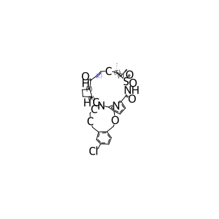 C[C@@H]1[C@@H](C)C/C=C/C(=O)[C@@H]2CC[C@H]2CN2CCCCc3cc(Cl)ccc3COc3ccc(nc32)C(=O)NS1(=O)=O